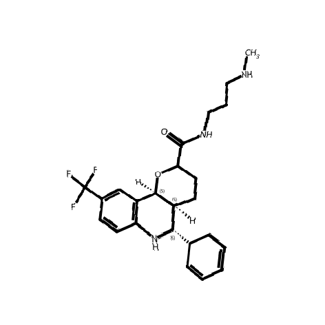 CNCCCNC(=O)C1CC[C@@H]2[C@H](O1)c1cc(C(F)(F)F)ccc1N[C@H]2C1C=CC=CC1